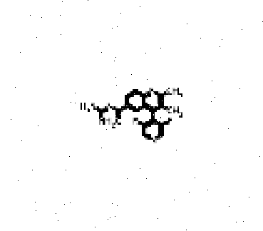 Cc1nc2ccc(C(=O)N=C(N)N)cc2c(-c2c(F)cncc2F)c1C